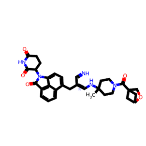 CC1(N/C=C(\C=N)Cc2ccc3c4c(cccc24)C(=O)N3C2CCC(=O)NC2=O)CCN(C(=O)C23COC(C2)C3)CC1